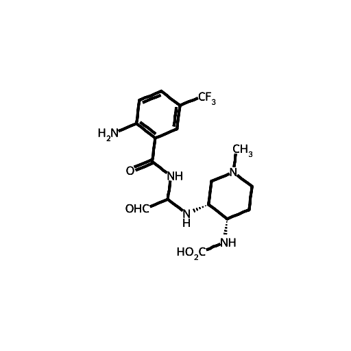 CN1CC[C@H](NC(=O)O)[C@H](NC(C=O)NC(=O)c2cc(C(F)(F)F)ccc2N)C1